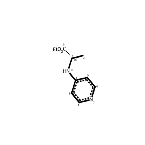 CCOC(=O)[C@H](C)Nc1ccncc1